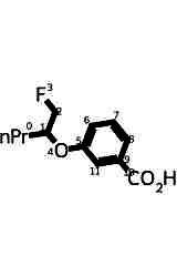 CCCC(CF)Oc1cccc(C(=O)O)c1